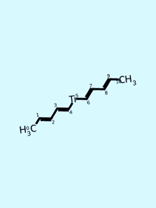 C/C=C/C=[CH]/[Ti]/[CH]=C/C=C/C